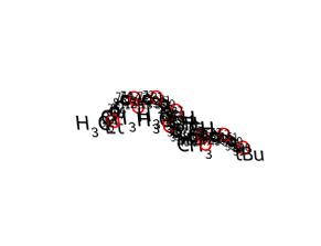 CCC(C)(C)Oc1ccc(Cc2ccc(OC(=O)c3ccc(Oc4ccc(C(=O)C(C)(C)C(C)(C)Oc5ccc(C(C)c6ccc(OC(=O)c7ccc(Oc8ccc(C(=O)C(C)(C)C)cc8)cc7)c(C)c6)cc5C)cc4)cc3)cc2)cc1